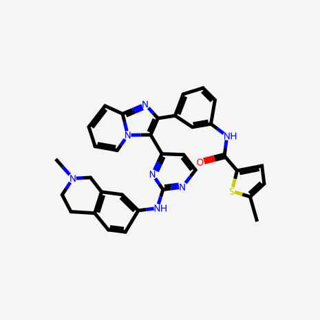 Cc1ccc(C(=O)Nc2cccc(-c3nc4ccccn4c3-c3ccnc(Nc4ccc5c(c4)CN(C)CC5)n3)c2)s1